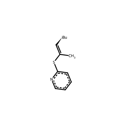 CC[C@H](C)/C=C(\C)Sc1ccccn1